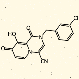 N#Cc1cn(Cc2cccc(Cl)c2)c(=O)c2c(O)c(=O)ccn12